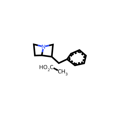 CC(=O)O.c1ccc(CC2CN3CCC23)cc1